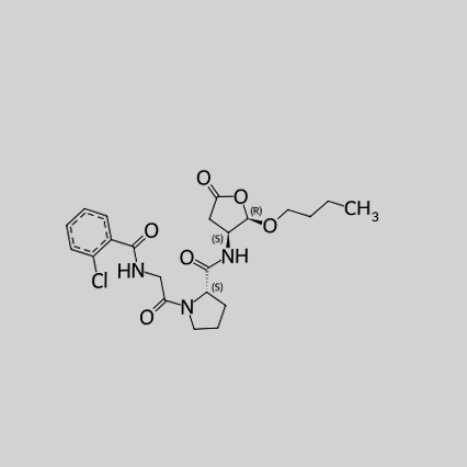 CCCCO[C@@H]1OC(=O)C[C@@H]1NC(=O)[C@@H]1CCCN1C(=O)CNC(=O)c1ccccc1Cl